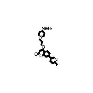 CNC1CCN(CCCOc2cc(=O)oc3cc(-c4ccc(F)nc4)ccc23)CC1